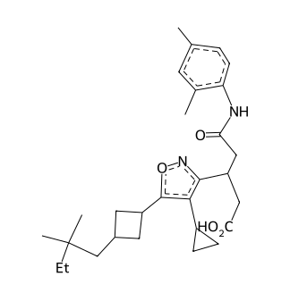 CCC(C)(C)CC1CC(c2onc(C(CC(=O)O)CC(=O)Nc3ccc(C)cc3C)c2C2CC2)C1